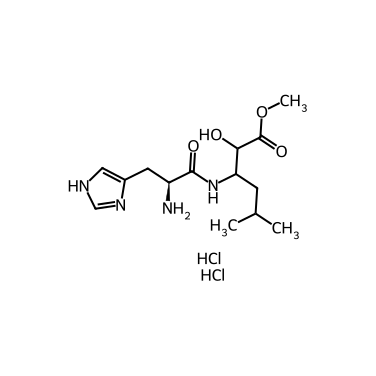 COC(=O)C(O)C(CC(C)C)NC(=O)[C@@H](N)Cc1c[nH]cn1.Cl.Cl